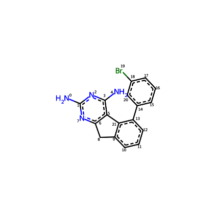 Nc1nc(N)c2c(n1)Cc1cccc(-c3cccc(Br)c3)c1-2